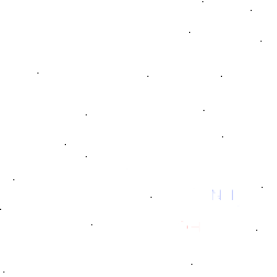 Nc1c(O)cc(-c2cccc(-c3ccccc3)c2)cc1-c1cccc(-c2ccccc2)c1